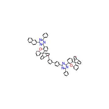 C1=CCC2Oc3c(-c4nc(-c5ccccc5)nc(-c5ccc6ccccc6c5)n4)cccc3C3(C2=C1)c1ccccc1-c1c(-c2cccc(-c4ccc(-c5nc(-c6ccccc6)nc(-c6cccc7c6Oc6ccccc6C76c7ccccc7-c7ccccc76)n5)cc4)c2)cccc13